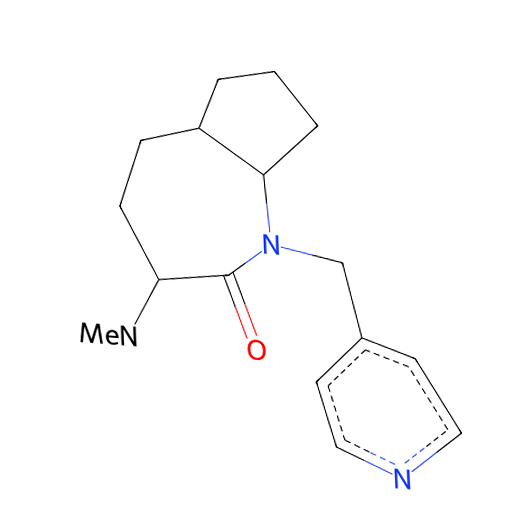 CNC1CCC2CCCC2N(Cc2ccncc2)C1=O